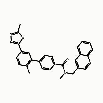 Cc1nnc(-c2ccc(C)c(-c3ccc(C(=O)N(C)Cc4ccc5ccccc5c4)cc3)c2)o1